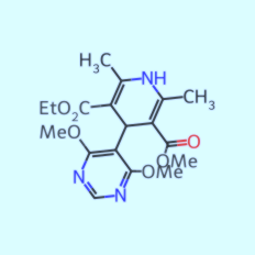 CCOC(=O)C1=C(C)NC(C)=C(C(=O)OC)C1c1c(OC)ncnc1OC